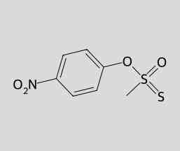 CS(=O)(=S)Oc1ccc([N+](=O)[O-])cc1